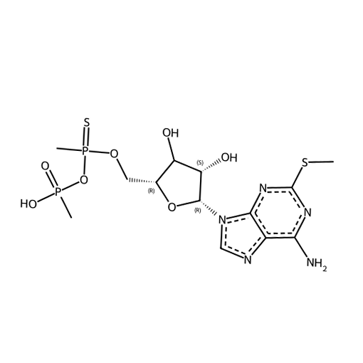 CSc1nc(N)c2ncn([C@@H]3O[C@H](COP(C)(=S)OP(C)(=O)O)C(O)[C@@H]3O)c2n1